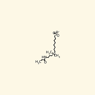 C=CC(=O)NCCC[N+](C)(C)CCCCCCCCS(=O)(=O)[O-]